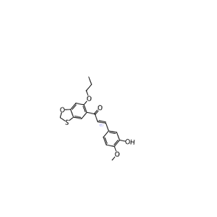 CCCOc1cc2c(cc1C(=O)/C=C/c1ccc(OC)c(O)c1)SCO2